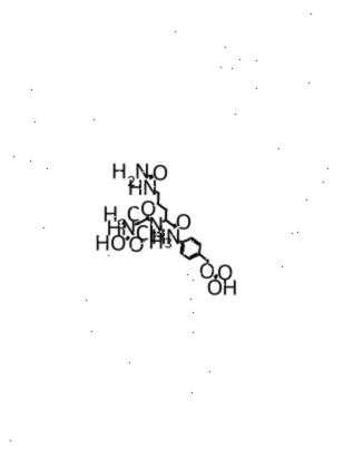 CC(C)(NC(=O)O)C(=O)NC(CCCNC(N)=O)C(=O)Nc1ccc(COC(=O)O)cc1